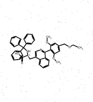 CCOCc1cc(OC)c(-c2ncc(C[C@H](NC(c3ccccc3)(c3ccccc3)c3ccccc3)C(=O)O)c3ccccc23)c(OC)c1